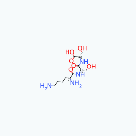 NCCCC[C@H](N)C(=O)N[C@@H](CO)C(=O)N[C@@H](CO)C(=O)O